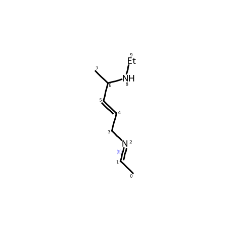 C/C=N/CC=CC(C)NCC